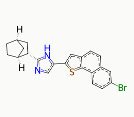 Brc1ccc2c(ccc3cc(-c4cnc([C@H]5C[C@@H]6CC[C@H]5C6)[nH]4)sc32)c1